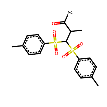 CC(=O)C(=O)C(C)C(S(=O)(=O)c1ccc(C)cc1)S(=O)(=O)c1ccc(C)cc1